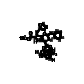 CC(C)(C)OC(=O)NC(Cc1cnco1)C(=O)N[C@@H](CCCc1ccccc1)B1O[C@@H]2C[C@@H]3C[C@@H](C3(C)C)[C@]2(C)O1